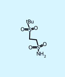 CC(C)(C)S(=O)(=O)CCS(N)(=O)=O